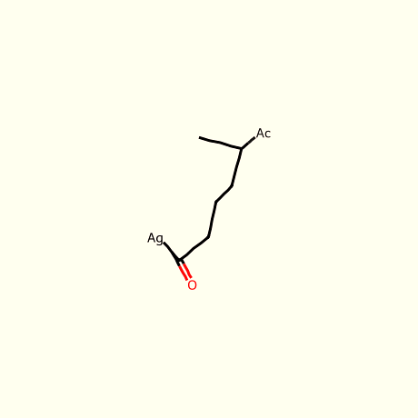 CC(=O)C(C)CCC[C](=O)[Ag]